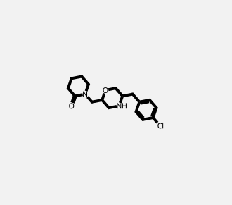 O=C1CCCCN1CC1CNC(Cc2ccc(Cl)cc2)CO1